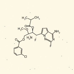 CO[C@](N)(COC(=O)c1cccc(Cl)c1)[C@@H](OC(=O)C(C)C)[C@@H](F)c1ccc2c(N)nc(F)nn12